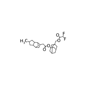 CC1CC2C3CC(CC(=O)OC45CC6CC(CC(COC(=O)C(F)F)(C6)C4)C5)C(C3)C2C1